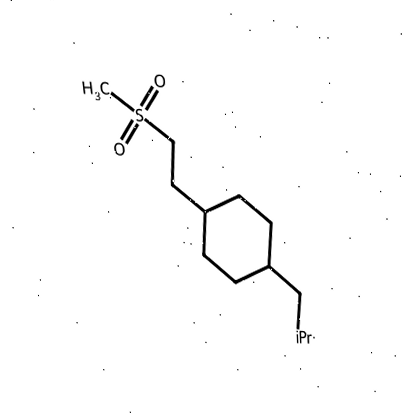 C[C](C)CC1CCC(CCS(C)(=O)=O)CC1